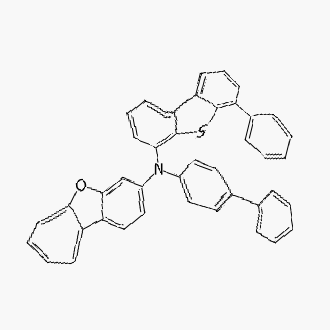 c1ccc(-c2ccc(N(c3ccc4c(c3)oc3ccccc34)c3cccc4c3sc3c(-c5ccccc5)cccc34)cc2)cc1